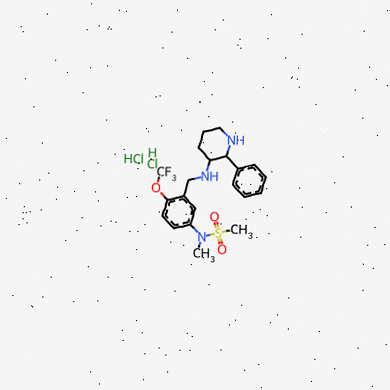 CN(c1ccc(OC(F)(F)F)c(CNC2CCCNC2c2ccccc2)c1)S(C)(=O)=O.Cl.Cl